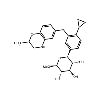 CO[C@H]1O[C@@H](c2ccc(C3CC3)c(Cc3ccc4c(c3)NCC(C(=O)O)O4)c2)[C@H](O)[C@@H](O)[C@@H]1O